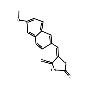 COc1ccc2cc(C=C3SC(=O)NC3=O)ccc2c1